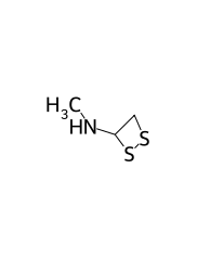 CNC1CSS1